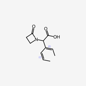 C/C=C\C(=C/C)C(C(=O)O)N1CCC1=O